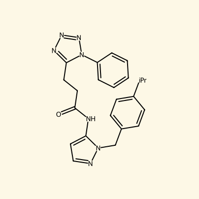 CC(C)c1ccc(Cn2nccc2NC(=O)CCc2nnnn2-c2ccccc2)cc1